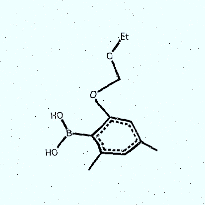 CCOCOc1cc(C)cc(C)c1B(O)O